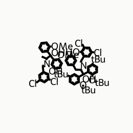 CC(C)(C)Oc1ccc(C(C)(C)C)cc1C(O)(c1cc(C(C)(C)C)ccc1OC(C)(C)C)C(Cc1ccccc1)N=Cc1cc(Cl)cc(Cl)c1O.COc1ccccc1C(O)(c1ccccc1OC)C(C)N=Cc1cc(Cl)cc(Cl)c1O